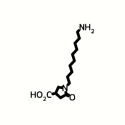 NCCCCCCCCCCN1CC(C(=O)O)CC1=O